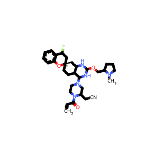 C=CC(=O)N1CCN(C2NC(OCC3CCCN3C)NC3C[C@]4(CCC32)CC(F)c2ccccc2O4)CC1CC#N